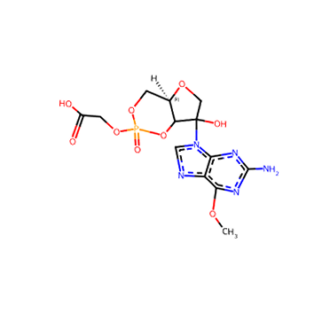 COc1nc(N)nc2c1ncn2C1(O)CO[C@@H]2COP(=O)(OCC(=O)O)OC21